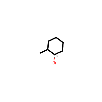 [CH2]C1CCCC[C@@H]1O